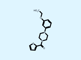 O=C(O)COc1cccc(N2CCN(C(=O)c3cccs3)CC2)c1